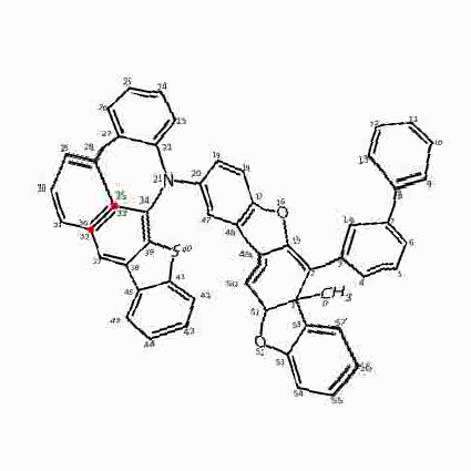 CC12C(c3cccc(-c4ccccc4)c3)=c3oc4ccc(N(c5ccccc5-c5ccccc5)c5cccc6c5sc5ccccc56)cc4c3=CC1Oc1ccccc12